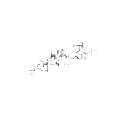 C[C@@H]1CN(c2ncc(C3CC3)cn2)C[C@H](C)N1C(=O)OCCC1=CNC(O)C(C(F)(F)F)=C1